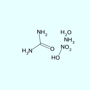 N.NC(N)=O.O.O=[N+]([O-])O